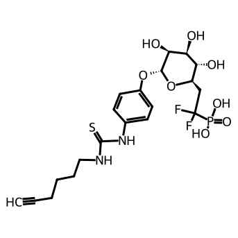 C#CCCCCNC(=S)Nc1ccc(O[C@H]2O[C@H](CC(F)(F)P(=O)(O)O)[C@@H](O)[C@H](O)[C@@H]2O)cc1